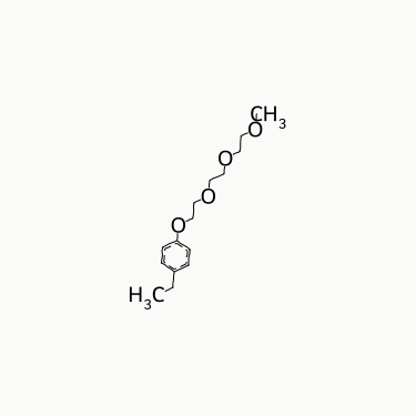 CCc1ccc(OCCOCCOCCOC)cc1